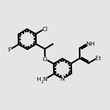 CC/C=C(\C=N)c1cnc(N)c(OC(C)c2cc(F)ccc2Cl)c1